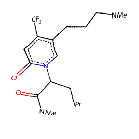 CNCCCc1cn(C(CC(C)C)C(=O)NC)c(=O)cc1C(F)(F)F